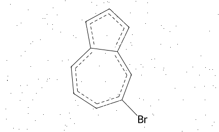 Brc1cccc2cccc-2c1